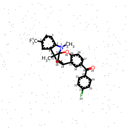 CN1c2ccc(C(F)(F)F)cc2C(C)(C)C12C=Cc1cc(C(=O)c3ccc(F)cc3)ccc1O2